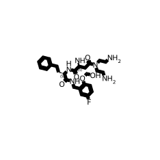 NCCN(CCN)C(=O)C[C@H](N)C(=O)N[C@@H](CCc1ccccc1)C(=O)NCc1cc(F)ccc1OCO